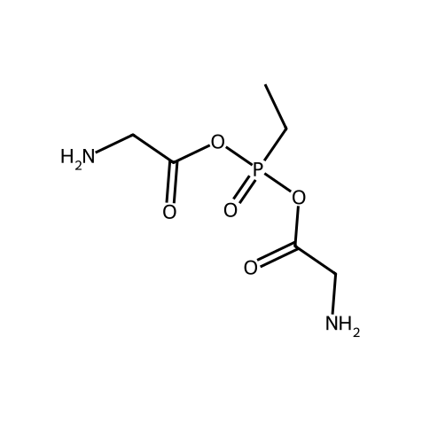 CCP(=O)(OC(=O)CN)OC(=O)CN